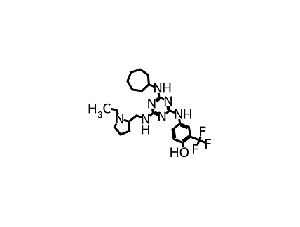 CCN1CCCC1CNc1nc(Nc2ccc(O)c(C(F)(F)F)c2)nc(NC2CCCCCC2)n1